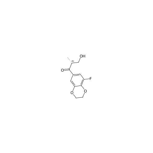 C[C@H](CO)C(=O)c1cc(F)c2c(c1)OCCO2